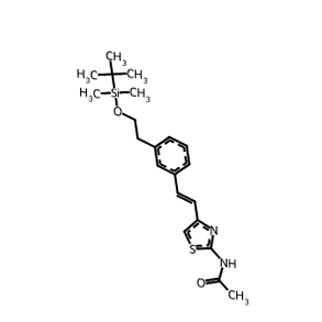 CC(=O)Nc1nc(/C=C/c2cccc(CCO[Si](C)(C)C(C)(C)C)c2)cs1